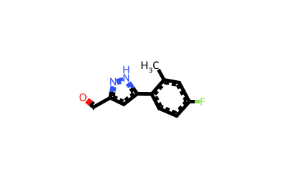 Cc1cc(F)ccc1-c1cc([C]=O)n[nH]1